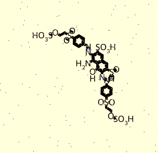 Nc1c(/N=N/c2ccc(S(=O)(=O)CCOS(=O)(=O)O)cc2)c(S(=O)(=O)O)cc2cc([SH](=O)=O)c(/N=N/c3ccc(S(=O)(=O)CCOS(=O)(=O)O)cc3)c(O)c12